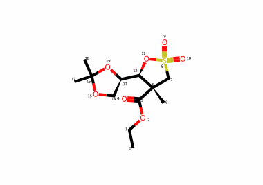 CCOC(=O)[C@@]1(C)CS(=O)(=O)O[C@@H]1[C@H]1COC(C)(C)O1